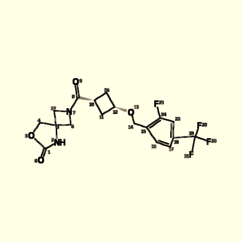 O=C1NC2(CO1)CN(C(=O)[C@H]1C[C@@H](OCc3ccc(C(F)(F)F)cc3F)C1)C2